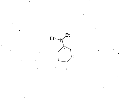 CCN(CC)C1CCC(C)CC1